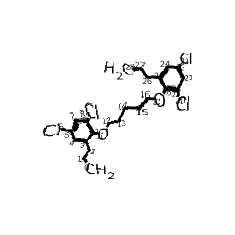 C=CCc1cc(Cl)cc(Cl)c1OCCCCCOc1c(Cl)cc(Cl)cc1CC=C